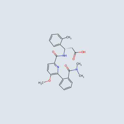 COc1ccc(C(=O)N[C@@H](CC(=O)O)c2ccccc2C)nc1-c1ccccc1C(=O)N(C)C